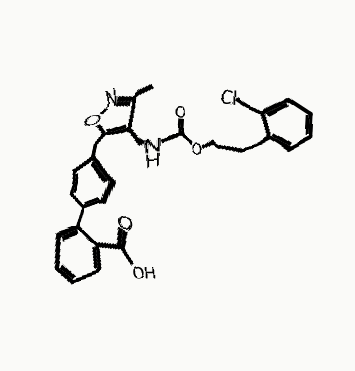 Cc1noc(-c2ccc(-c3ccccc3C(=O)O)cc2)c1NC(=O)OCCc1ccccc1Cl